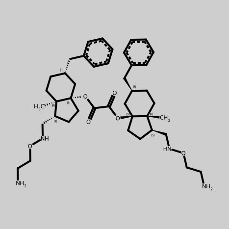 C[C@]12CC[C@H](Cc3ccccc3)C[C@@]1(OC(=O)C(=O)O[C@]13CC[C@H](CNOCCN)[C@@]1(C)CC[C@H](Cc1ccccc1)C3)CC[C@@H]2CNOCCN